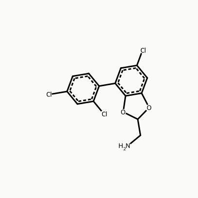 NCC1Oc2cc(Cl)cc(-c3ccc(Cl)cc3Cl)c2O1